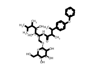 CC(C)C(C)[C@@H](O)[C@@H](O)[C@H](CO[C@H]1OC(CO)[C@@H](O)[C@H](O)C1O)NC(=O)C(C)C(C)c1ccc(Oc2ccccc2)cc1